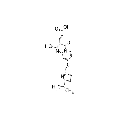 CC(C)c1csc(COc2ccn3c(=O)c(C=CC(=O)O)c(O)nc3c2)n1